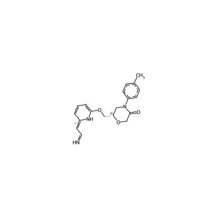 Cc1ccc(N2C[C@@H](COC3=CC=C/C(=C/C=N)N3)OCC2=O)cc1